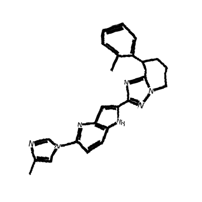 Cc1cn(-c2ccc3[nH]c(-c4nc5n(n4)CCCC5c4ccccc4C)cc3n2)cn1